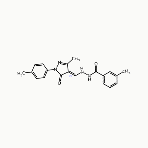 CC1=NN(c2ccc(C)cc2)C(=O)/C1=C/NNC(=O)c1cccc(C)c1